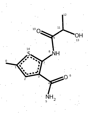 Cc1cc(C(N)=O)c(NC(=O)C(C)O)s1